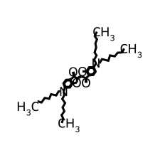 CCCCCCCCN(CCCCCCCC)c1ccc2c(c1)O/C(=C1/Oc3cc(N(CCCCCCCC)CCCCCCCC)ccc3C1=O)C2=O